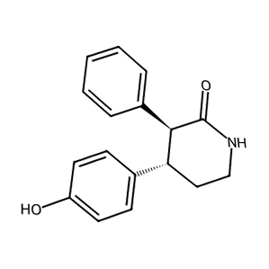 O=C1NCC[C@H](c2ccc(O)cc2)[C@H]1c1ccccc1